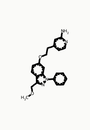 COCc1nn(-c2ccccc2)c2cc(OCCc3ccnc(N)c3)ccc12